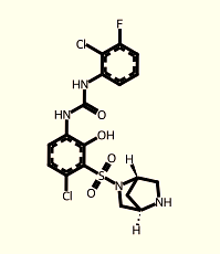 O=C(Nc1ccc(Cl)c(S(=O)(=O)N2C[C@H]3C[C@H]2CN3)c1O)Nc1cccc(F)c1Cl